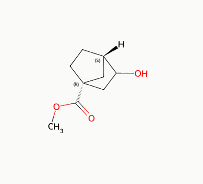 COC(=O)[C@]12CC[C@@H](C1)C(O)C2